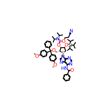 COc1ccc(C(OC[C@@H]2[C@@H](OP(OCCC#N)N(C(C)C)C(C)C)[C@@H](O[Si](C(C)C)(C(C)C)C(C)C)C[SH]2n2cnc3c(NC(=O)c4ccccc4)ncnc32)(c2ccccc2)c2ccc(OC)cc2)cc1